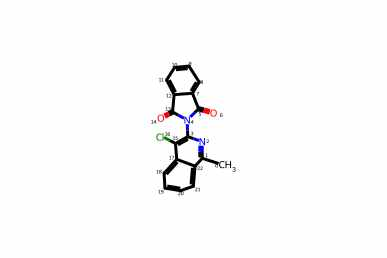 Cc1nc(N2C(=O)c3ccccc3C2=O)c(Cl)c2ccccc12